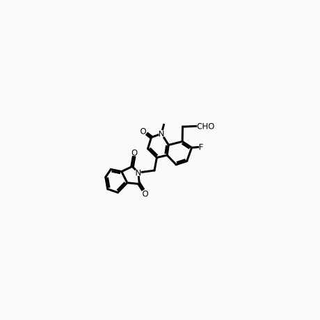 Cn1c(=O)cc(CN2C(=O)c3ccccc3C2=O)c2ccc(F)c(CC=O)c21